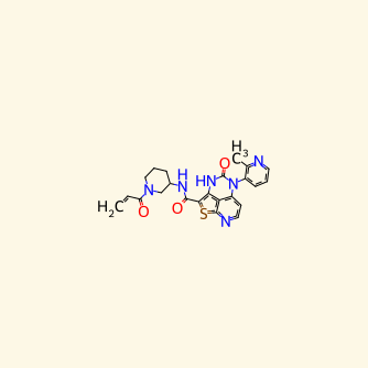 C=CC(=O)N1CCCC(NC(=O)c2sc3nccc4c3c2NC(=O)N4c2cccnc2C)C1